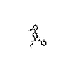 NCCNc1nc(-c2ccccc2O)nc2cc(-c3ccccc3C(F)(F)F)ccc12